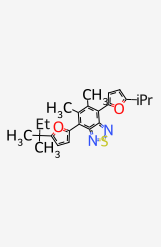 CCC(C)(C)c1ccc(-c2c(C)c(C)c(-c3ccc(C(C)C)o3)c3nsnc23)o1